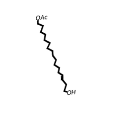 CC(=O)OCCCCCCCCCCCCC/C=C/CCO